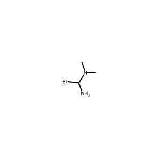 CC[C](N)N(C)C